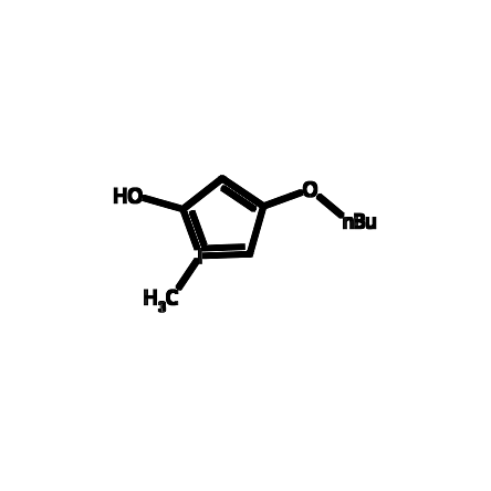 CCCCOC1=CC(O)=I(C)=C1